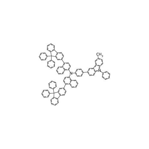 Cc1ccc2c(c1)c1cc(-c3ccc(N(c4ccc(-c5ccc6c(c5)C(c5ccccc5)(c5ccccc5)c5ccccc5-6)c5ccccc45)c4ccc(-c5ccc6c(c5)C(c5ccccc5)(c5ccccc5)c5ccccc5-6)c5ccccc45)cc3)ccc1n2-c1ccccc1